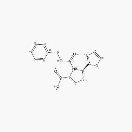 O=C(O)C1CS[C@H](c2ncco2)N1C(=O)OCc1ccccc1